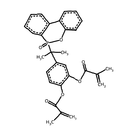 C=C(C)C(=O)Oc1ccc(C(C)(C)P2(=O)Oc3ccccc3-c3ccccc32)cc1OC(=O)C(=C)C